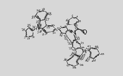 O=c1c2ccccc2c2cc(-c3ccc4c(c3)c3ccccc3n4-c3ccccc3)cc3c4cc5c6ccccc6n(-c6ccccc6)c5cc4n1c23